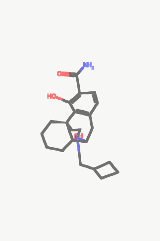 NC(=O)c1ccc2c(c1O)[C@@]13CCCCC1(O)C(C2)N(CC1CCC1)CC3